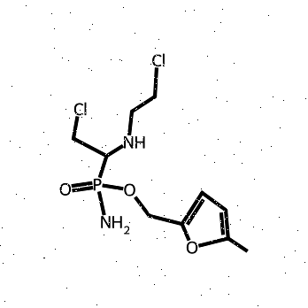 Cc1ccc(COP(N)(=O)C(CCl)NCCCl)o1